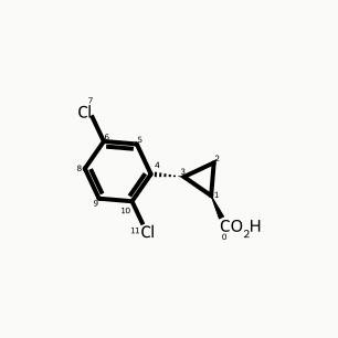 O=C(O)[C@@H]1C[C@H]1c1cc(Cl)ccc1Cl